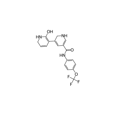 O=C(Nc1ccc(OC(F)(F)F)cc1)C1=CNCC(C2=C(O)NCC=C2)=C1